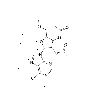 COCC1OC(n2cnc3c(Cl)ncnc32)C(OC(C)=O)C1OC(C)=O